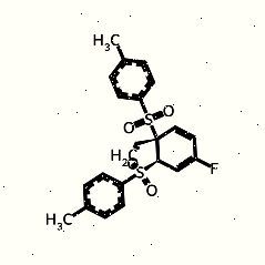 C=C[C@@]1(S(=O)(=O)c2ccc(C)cc2)C=CC(F)=C[C@H]1S(=O)(=O)c1ccc(C)cc1